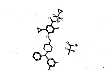 O=C(NS(=O)(=O)C1CC1)c1cc(C2CC2)c(OCC2CCN(C(c3ccccc3)c3cc(Cl)cc(Cl)c3)CC2)cc1F.O=C(O)C(F)(F)F